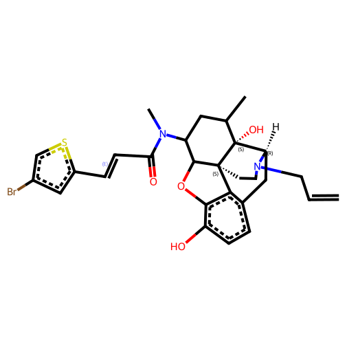 C=CCN1CC[C@]23c4c5ccc(O)c4OC2C(N(C)C(=O)/C=C/c2cc(Br)cs2)CC(C)[C@@]3(O)[C@H]1C5